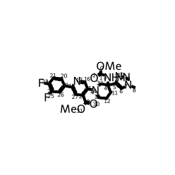 COC(=O)NC1(c2cn(C)nn2)CCCN(c2cnc(-c3ccc(F)c(F)c3)cc2C(=O)OC)C1